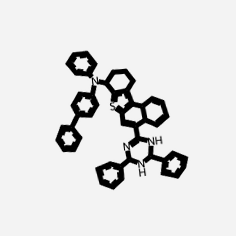 C1=CC2C(C3=NC(c4ccccc4)NC(c4ccccc4)N3)=Cc3sc4c(c3C2C=C1)CCCC4N(c1ccccc1)c1ccc(-c2ccccc2)cc1